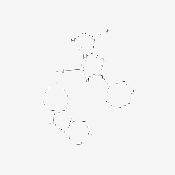 CC(C)c1cnn2c(N[C@H]3CCc4[nH]c5ccccc5c4C3)nc([C@@H]3CCCOC3)nc12